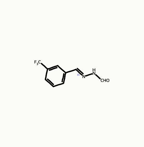 O=CN/N=C/c1cccc(C(F)(F)F)c1